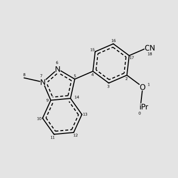 CC(C)Oc1cc(-c2nn(C)c3ccccc23)ccc1C#N